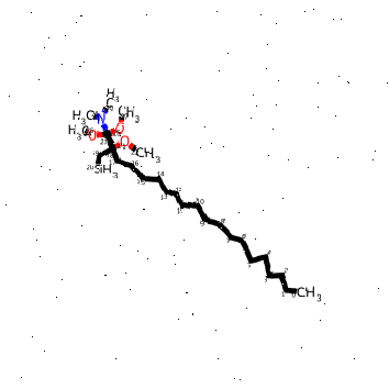 CCCCCCCCCCCCCCCCCCC(C[SiH3])(OC)C(OC)(OC)N(C)C